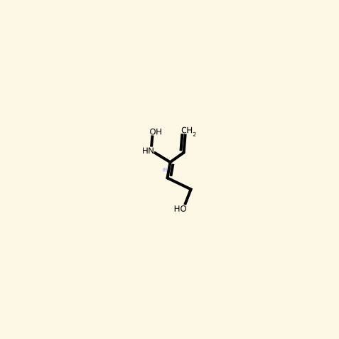 C=C/C(=C\CO)NO